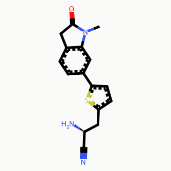 CN1C(=O)Cc2ccc(-c3ccc(C[C@H](N)C#N)s3)cc21